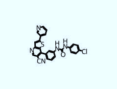 N#Cc1cnc2cc(-c3cccnc3)sc2c1-c1cccc(NC(=O)Nc2ccc(Cl)cc2)c1